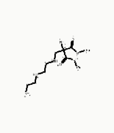 CC(C)(C)OC(=O)C(N)(CNCCNCCN)C(=O)OC(C)(C)C